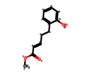 COC(=O)/C=C/CCc1ccccc1O